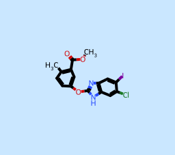 COC(=O)c1cc(Oc2nc3cc(I)c(Cl)cc3[nH]2)ccc1C